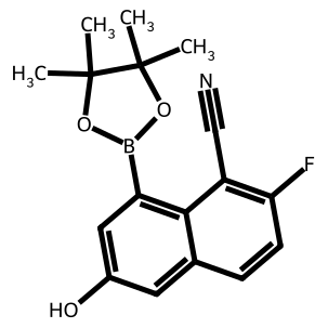 CC1(C)OB(c2cc(O)cc3ccc(F)c(C#N)c23)OC1(C)C